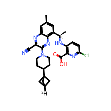 [2H]C12CC(C3CCN(c4nc5c([C@@H](C)Nc6ccc(Cl)nc6C(=O)O)cc(C)cc5nc4C#N)CC3)(C1)C2